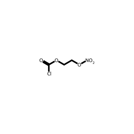 O=C(Cl)OCCO[N+](=O)[O-]